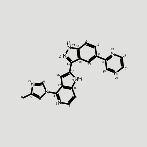 Cc1cn(-c2nccc3[nH]c(-c4n[nH]c5ccc(-c6cnccn6)cc45)cc23)cn1